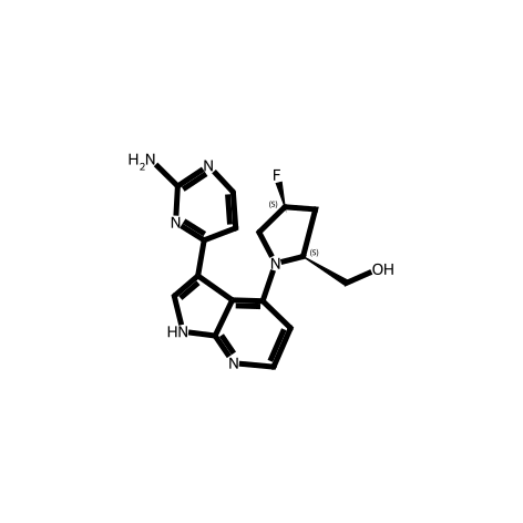 Nc1nccc(-c2c[nH]c3nccc(N4C[C@@H](F)C[C@H]4CO)c23)n1